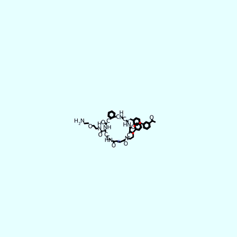 CC(=O)c1cccc(-c2ccc(C[C@H]3CNCc4ccccc4CC(=O)N[C@H](C(=O)NCCOCCN)CCNC(=O)/C=C/C(=O)N4CCC[C@](Cc5ccccc5)(C4)C(=O)N3)cc2)c1